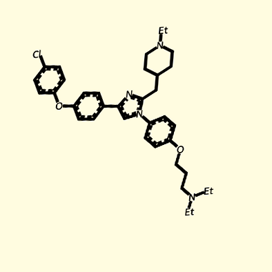 CCN(CC)CCCOc1ccc(-n2cc(-c3ccc(Oc4ccc(Cl)cc4)cc3)nc2CC2CCN(CC)CC2)cc1